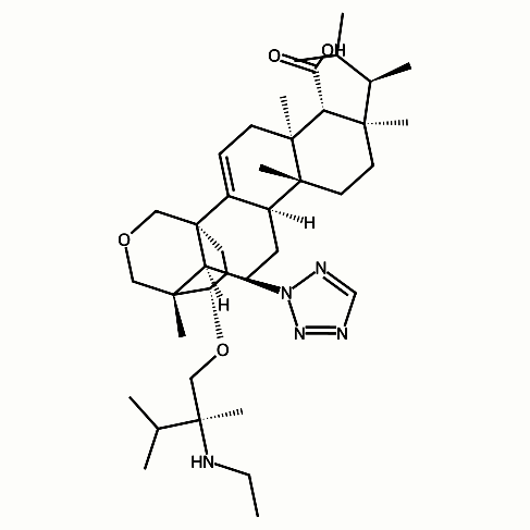 CCN[C@](C)(CO[C@H]1[C@H](n2ncnn2)C[C@@]23COC[C@]1(C)[C@@H]2CC[C@H]1C3=CC[C@@]2(C)[C@H](C(=O)O)[C@@](C)([C@H](C)C(C)C)CC[C@]12C)C(C)C